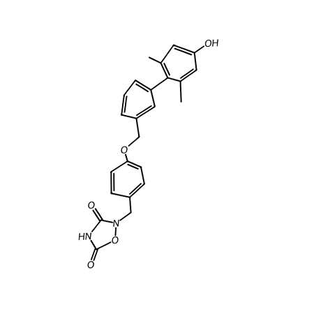 Cc1cc(O)cc(C)c1-c1cccc(COc2ccc(Cn3oc(=O)[nH]c3=O)cc2)c1